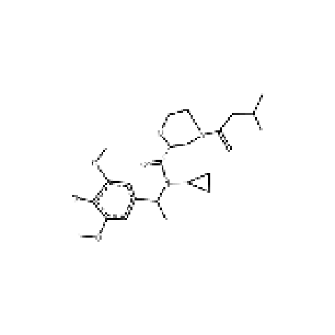 COc1cc(C(C)N(C(=O)[C@H]2CN(C(=O)CC(C)C)CCO2)C2CC2)cc(OC)c1Cl